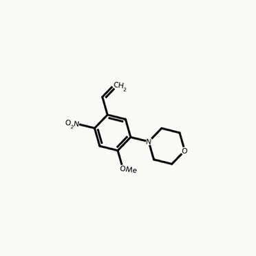 C=Cc1cc(N2CCOCC2)c(OC)cc1[N+](=O)[O-]